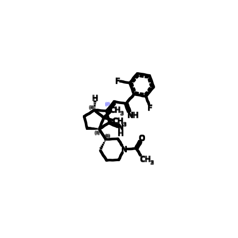 CC(=O)N1CCC[C@H]([C@@]23CC[C@@H](/C(=C/C(=N)c4c(F)cccc4F)C2=N)C3(C)C)C1